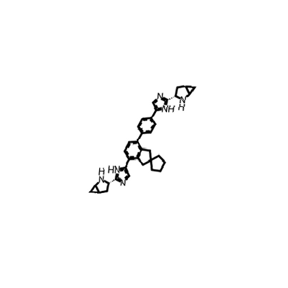 c1cc(-c2ccc(-c3cnc([C@@H]4CC5CC5N4)[nH]3)c3c2CC2(CCCC2)C3)ccc1-c1cnc([C@@H]2CC3CC3N2)[nH]1